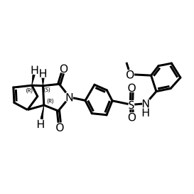 COc1ccccc1NS(=O)(=O)c1ccc(N2C(=O)[C@@H]3[C@H](C2=O)C2C=C[C@H]3C2)cc1